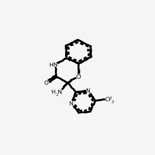 NC1(c2nccc(C(F)(F)F)n2)Oc2ccccc2NC1=O